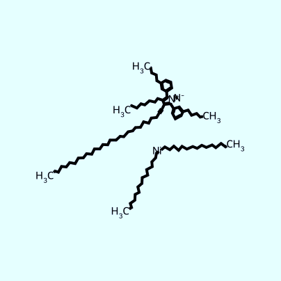 CCCCCCCCCCCCCCCCCCCCCCCCCCCC#CC1=C(c2cccc(CCCCC)c2)[N+](=[N-])C(c2cccc(CCCCC)c2)=C1CCCCCCCC.CCCCCCCCCCCCCC[CH2][Ni][CH2]CCCCCCCCCCCCCC